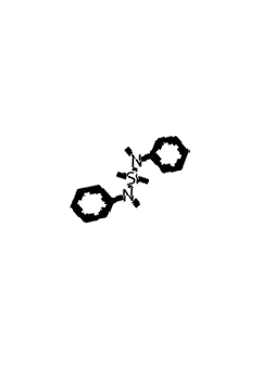 CN(c1ccccc1)[Si](C)(C)N(C)c1ccccc1